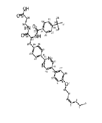 CCC/C=C\CCOc1ccc(-c2cnc(-c3ccc(C[C@H](NC(=O)c4ccc(C(C)(C)C)cc4)C(=O)NCCC(=O)O)cc3)nc2)cc1